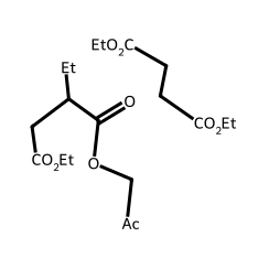 CCOC(=O)CC(CC)C(=O)OCC(C)=O.CCOC(=O)CCC(=O)OCC